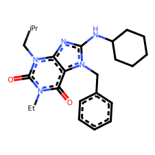 CCn1c(=O)c2c(nc(NC3CCCCC3)n2Cc2ccccc2)n(CC(C)C)c1=O